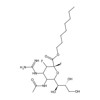 CCCCCCCCOC(=O)[C@]1(F)OC([C@H](O)[C@H](O)CO)C(NC(C)=O)C(NC(=N)N)C1F